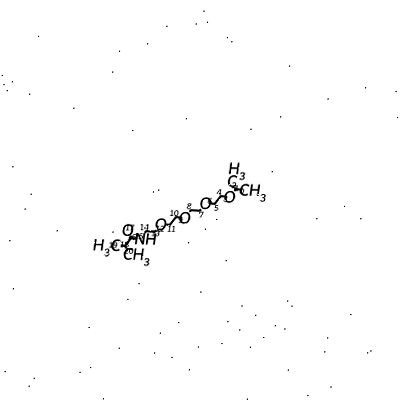 CC(C)OCCOCCOCCOCCNC(=O)C(C)C